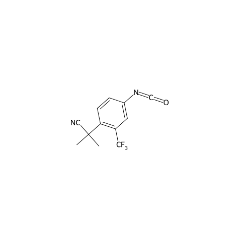 CC(C)(C#N)c1ccc(N=C=O)cc1C(F)(F)F